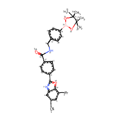 CC(C)c1cc(C#N)cc2nc(-c3ccc(C(=O)NCc4ccc(B5OC(C)(C)C(C)(C)O5)cc4)cc3)oc12